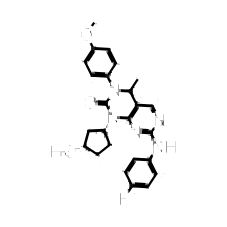 COc1ccc(N2C(=O)N([C@H]3CC[C@H](O)C3)c3nc(Nc4ccc(F)cc4)ncc3C2C)cc1